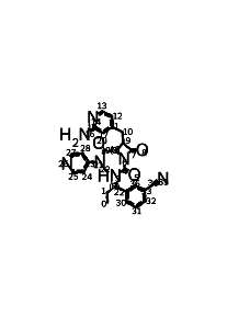 CC[C@@H](NC(=O)N1C(=O)C(Cc2ccnc(N)c2)[C@H]1C(=O)N(C)c1ccncc1)c1cccc(C#N)c1